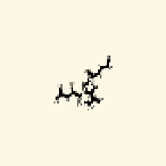 C=C(C)C1CN(C(=C)CCCC)CN1/C(N)=C(\C)C=C(C)C